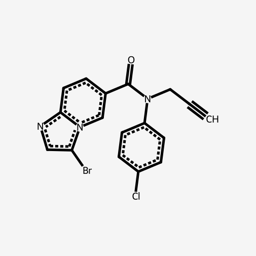 C#CCN(C(=O)c1ccc2ncc(Br)n2c1)c1ccc(Cl)cc1